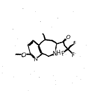 COc1ccc2c(n1)CNC(C(=O)C(F)(F)F)CC2C